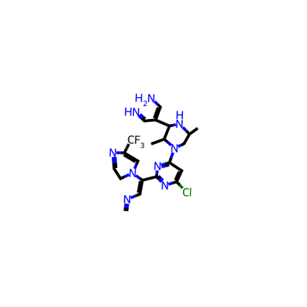 C=N/C=C(/c1nc(Cl)cc(N2CC(C)NC(/C(C=N)=C/N)C2C)n1)N1C=C(C(F)(F)F)N=CC1